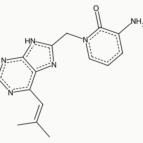 CC(C)=Cc1ncnc2[nH]c(Cn3cccc(N)c3=O)nc12